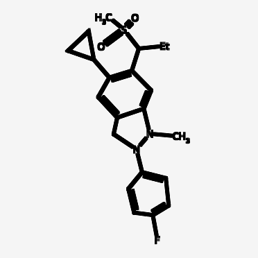 CCC(c1cc2c(cc1C1CC1)CN(c1ccc(F)cc1)N2C)S(C)(=O)=O